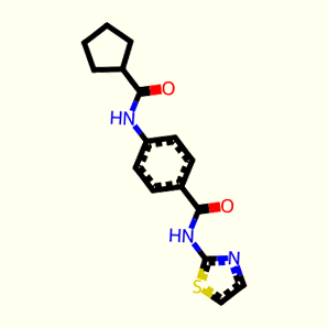 O=C(Nc1nccs1)c1ccc(NC(=O)C2CCCC2)cc1